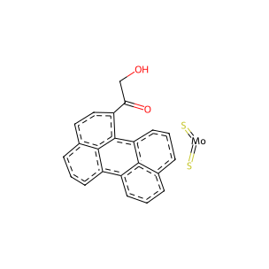 O=C(CO)c1ccc2cccc3c4cccc5cccc(c1c23)c54.[S]=[Mo]=[S]